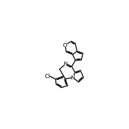 Clc1cccc2c1CN=C(c1ccc3ccocc1-3)c1cccn1-2